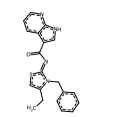 CCc1cs/c(=N\C(=O)c2c[nH]c3ncccc23)n1Cc1ccccc1